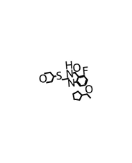 CC(Oc1cc(F)c2c(=O)[nH]c(CSC3CCOCC3)nc2c1)C1CCCC1